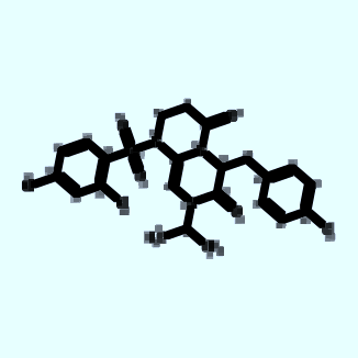 CC(C)N1C=C2N(C(=O)CCN2S(=O)(=O)c2ccc(Cl)cc2Cl)C(Cc2ccc(Cl)cc2)C1=O